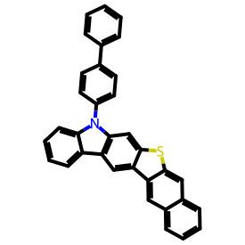 c1ccc(-c2ccc(-n3c4ccccc4c4cc5c(cc43)sc3cc4ccccc4cc35)cc2)cc1